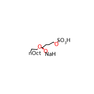 CCCCCCCCCCOC(=O)CCCOS(=O)(=O)O.[NaH]